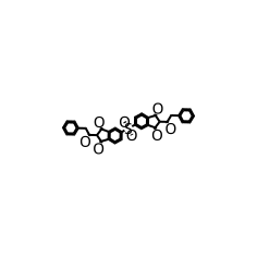 O=C(Cc1ccccc1)C1C(=O)c2ccc(S(=O)(=O)c3ccc4c(c3)C(=O)C(C(=O)Cc3ccccc3)C4=O)cc2C1=O